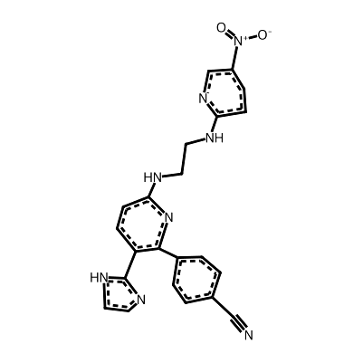 N#Cc1ccc(-c2nc(NCCNc3ccc([N+](=O)[O-])cn3)ccc2-c2ncc[nH]2)cc1